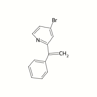 C=C(c1ccccc1)c1cc(Br)ccn1